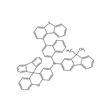 CC1(C)c2ccccc2-c2ccc(N(c3ccc4c(c3)C3(c5ccccc5O4)c4ccccc4-c4ccccc43)c3ccc(-c4cccc5sc6ccccc6c45)c4ccccc34)cc21